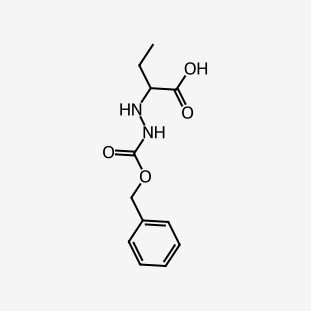 CCC(NNC(=O)OCc1ccccc1)C(=O)O